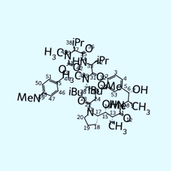 CCC(C)c1cccc([C@H](O)[C@@H](C)NC(=O)[C@H](C)[C@@H](OC)[C@@H]2CCCN2C(=O)C[C@@H](OC)[C@H]([C@@H](C)CC)N(C)C(=O)[C@@H](NC(=O)[C@H](C(C)C)N(C)C(=O)OCc2ccc(NC)cc2)C(C)C)c1